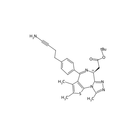 Cc1sc2c(c1C)C(c1ccc(CCC#CN)cc1)=N[C@@H](CC(=O)OC(C)(C)C)c1nnc(C)n1-2